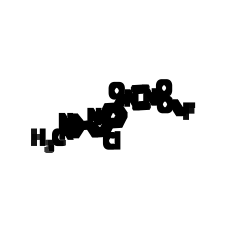 Cn1cc(-c2cc(Cl)c3ccc(C(=O)N4CCN(C(=O)OCCF)CC4)cc3n2)cn1